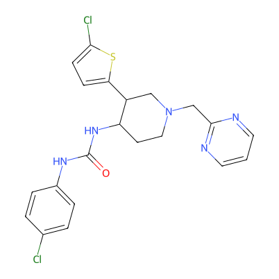 O=C(Nc1ccc(Cl)cc1)NC1CCN(Cc2ncccn2)CC1c1ccc(Cl)s1